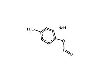 Cc1ccc(OP=O)cc1.[NaH]